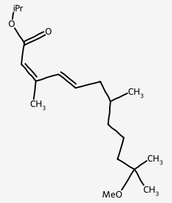 COC(C)(C)CCCC(C)C/C=C/C(C)=C\C(=O)OC(C)C